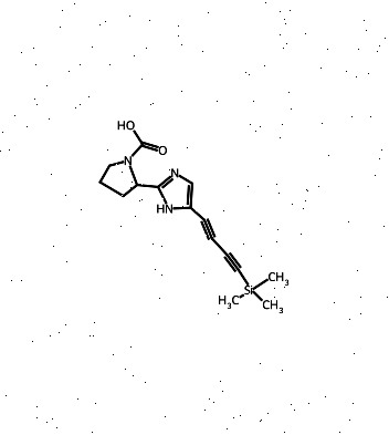 C[Si](C)(C)C#CC#Cc1cnc(C2CCCN2C(=O)O)[nH]1